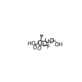 Cc1c(N2CC[C@H](CO)C2)c(F)cn2c(=O)c(C(=O)O)cc(C3CC3)c12